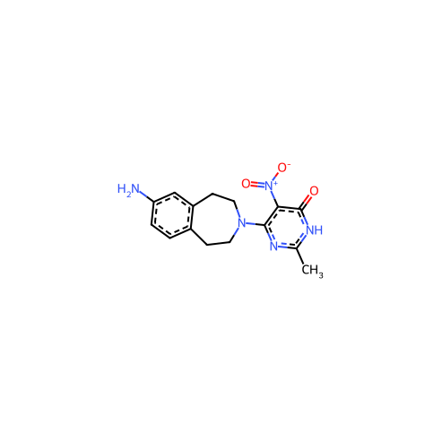 Cc1nc(N2CCc3ccc(N)cc3CC2)c([N+](=O)[O-])c(=O)[nH]1